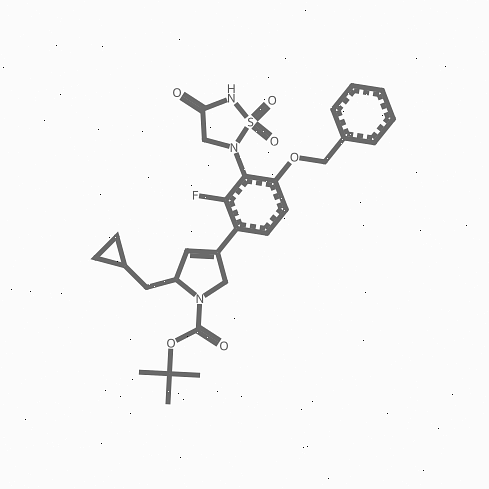 CC(C)(C)OC(=O)N1CC(c2ccc(OCc3ccccc3)c(N3CC(=O)NS3(=O)=O)c2F)=CC1CC1CC1